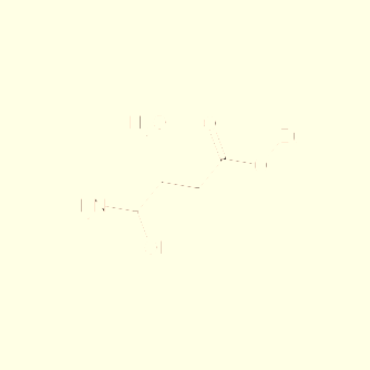 CCOC(=O)CCC(N)O.O